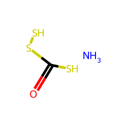 N.O=C(S)SS